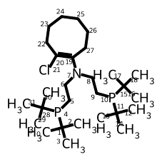 CC(C)(C)P(CCN(CCP(C(C)(C)C)C(C)(C)C)/C1=C(\Cl)CCCCCC1)C(C)(C)C